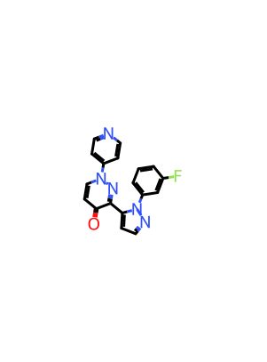 O=c1ccn(-c2ccncc2)nc1-c1ccnn1-c1cccc(F)c1